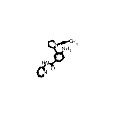 CC#CN1CCCC1c1cc(C(=O)Nc2ccccn2)ccc1N